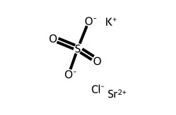 O=S(=O)([O-])[O-].[Cl-].[K+].[Sr+2]